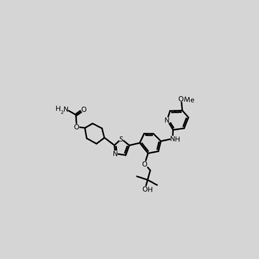 COc1ccc(Nc2ccc(-c3cnc(C4CCC(OC(N)=O)CC4)s3)c(OCC(C)(C)O)c2)nc1